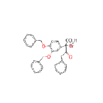 O=C(O)C(Br)(C(=O)Cc1ccccc1)c1ccc(OCc2ccccc2)c(OCc2ccccc2)c1